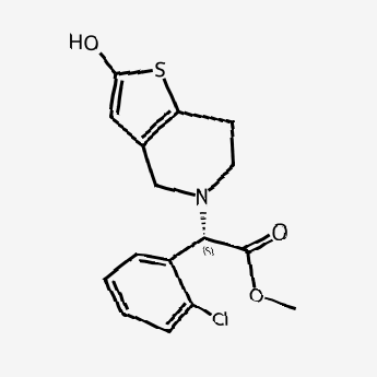 COC(=O)[C@H](c1ccccc1Cl)N1CCc2sc(O)cc2C1